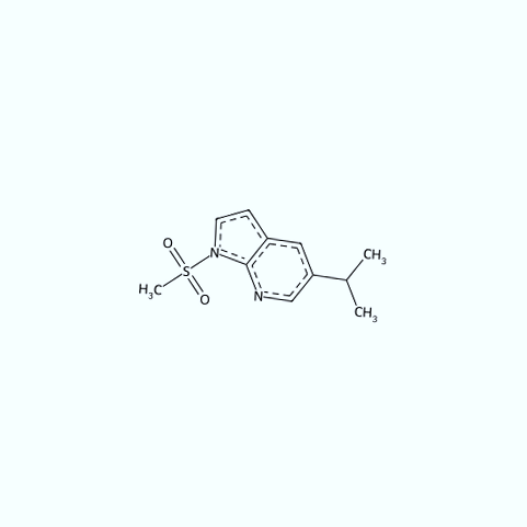 CC(C)c1cnc2c(ccn2S(C)(=O)=O)c1